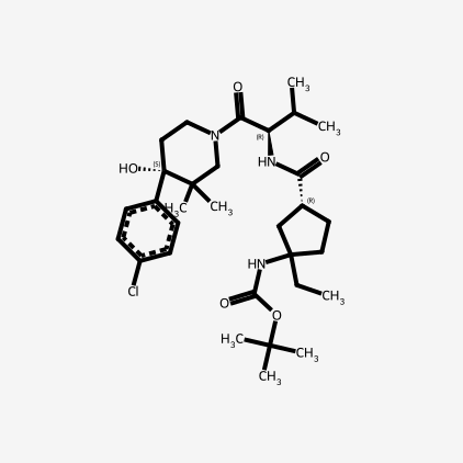 CCC1(NC(=O)OC(C)(C)C)CC[C@@H](C(=O)N[C@@H](C(=O)N2CC[C@](O)(c3ccc(Cl)cc3)C(C)(C)C2)C(C)C)C1